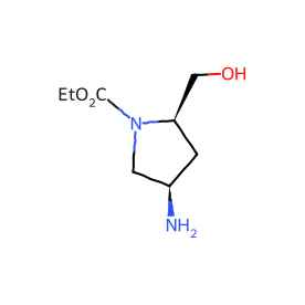 CCOC(=O)N1C[C@H](N)C[C@@H]1CO